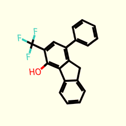 Oc1c(C(F)(F)F)cc(-c2ccccc2)c2c1-c1ccccc1C2